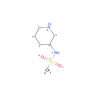 O=S(=O)(NC1CCCNC1)C(F)(F)F